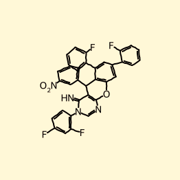 N=c1c2c(ncn1-c1ccc(F)cc1F)Oc1cc(-c3ccccc3F)cc(-c3ccccc3F)c1C2c1cccc([N+](=O)[O-])c1